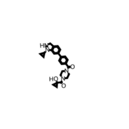 O=C(c1ccc(-c2ccc3c(c2)N(C2CC2)NC3)cc1)N1CCN(C(=O)C2(O)CC2)CC1